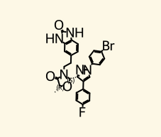 C[C@H]1O[C@@H](c2nn(-c3ccc(Br)cc3)cc2-c2ccc(F)cc2)N(CCc2ccc3[nH]c(=O)[nH]c3c2)C1=O